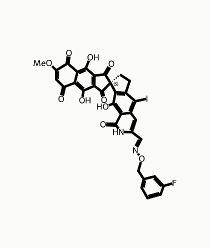 COC1=CC(=O)c2c(O)c3c(c(O)c2C1=O)C(=O)[C@]1(CCc2c1c(O)c1c(=O)[nH]c(C=NOCc4cccc(F)c4)cc1c2I)C3=O